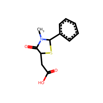 CN1C(=O)C(CC(=O)O)SC1c1ccccc1